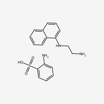 NCCNc1cccc2ccccc12.Nc1ccccc1S(=O)(=O)O